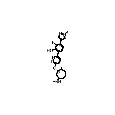 CNC1CCCC(F)[C@@H](Oc2ccc(-c3ccc(-c4cnn(C)c4)c(F)c3O)nn2)C1